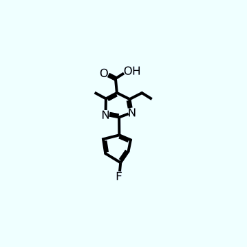 CCc1nc(-c2ccc(F)cc2)nc(C)c1C(=O)O